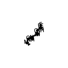 CC(C)c1ccnc(CNC(=O)c2cn(CCCCn3cc(C(=O)NCc4cncc(C(F)(F)F)c4)nn3)nn2)c1